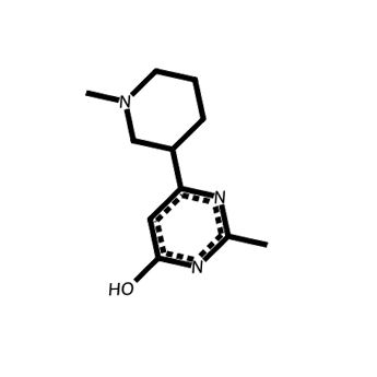 Cc1nc(O)cc(C2CCCN(C)C2)n1